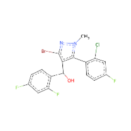 Cn1nc(Br)c(C(O)c2ccc(F)cc2F)c1-c1ccc(F)cc1Cl